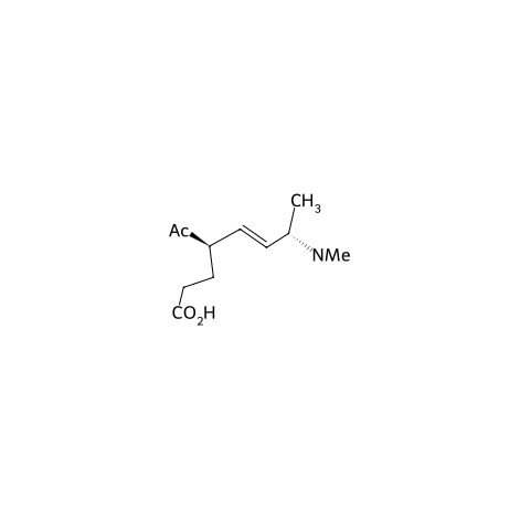 CN[C@@H](C)/C=C/[C@@H](CCC(=O)O)C(C)=O